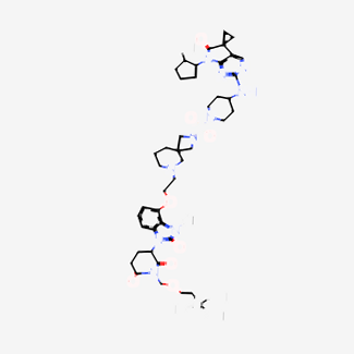 CC1CCCC1N1C(=O)C2(CC2)c2cnc(NC3CCN(S(=O)(=O)N4CC5(CCCN(CCOc6cccc7c6n(C)c(=O)n7C6CCC(=O)N(COCC[Si](C)(C)C)C6=O)C5)C4)CC3)nc21